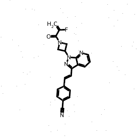 C=C(F)C(=O)N1CC(n2nc(C=Cc3ccc(C#N)cc3)c3cccnc32)C1